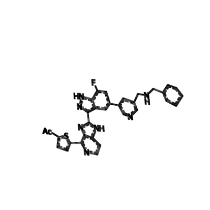 CC(=O)c1ccc(-c2nccc3[nH]c(-c4n[nH]c5c(F)cc(-c6cncc(CNCc7ccccc7)c6)cc45)nc23)s1